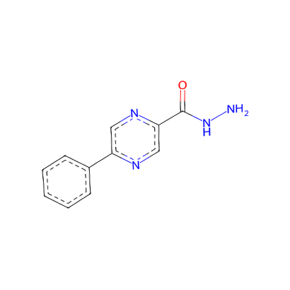 NNC(=O)c1cnc(-c2ccccc2)cn1